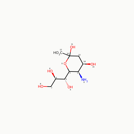 N[C@H]1C([C@H](O)[C@H](O)CO)OC(O)(C(=O)O)C[C@H]1O